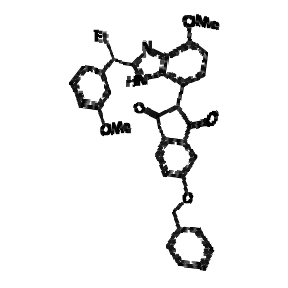 CCC(c1cccc(OC)c1)c1nc2c(OC)ccc(C3C(=O)c4ccc(OCc5ccccc5)cc4C3=O)c2[nH]1